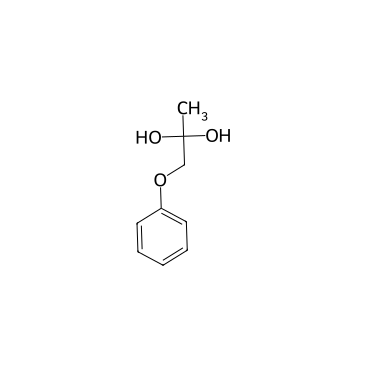 CC(O)(O)COc1ccccc1